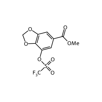 COC(=O)c1cc2c(c(OS(=O)(=O)C(F)(F)F)c1)OCO2